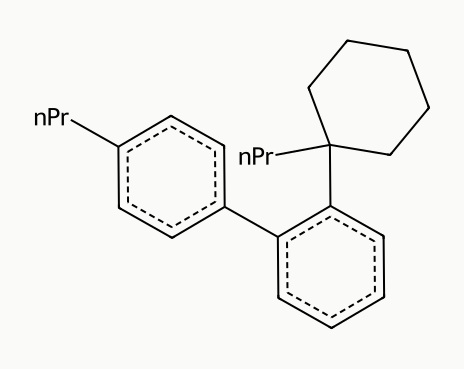 CCCc1ccc(-c2ccccc2C2(CCC)CCCCC2)cc1